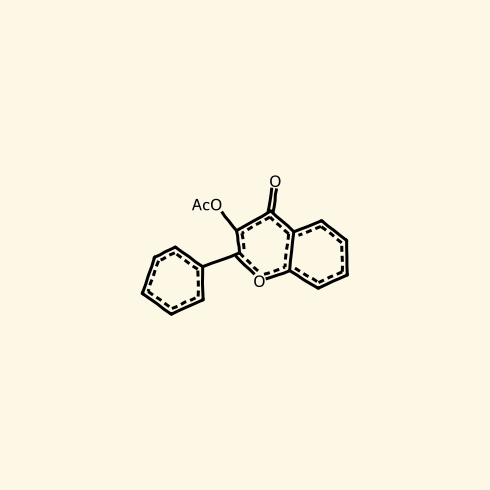 CC(=O)Oc1c(-c2ccccc2)oc2ccccc2c1=O